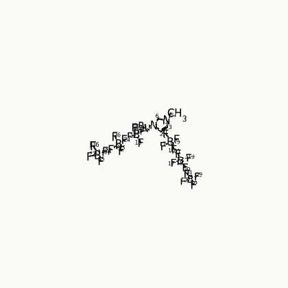 CCCCN1C=CN(C)C1.F[B-](F)(F)F.F[B-](F)(F)F.F[B-](F)(F)F.F[B-](F)(F)F.F[B-](F)(F)F.F[B-](F)(F)F